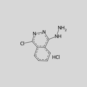 Cl.NNc1nnc(Cl)c2ccccc12